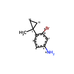 CC1(c2ccc(N)cc2Br)CC1